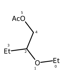 CCOC(CC)COC(C)=O